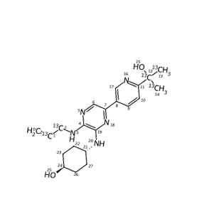 C=[13CH][13CH2]Nc1ncc(-c2ccc([13C]([13CH3])([13CH3])O)nc2)nc1N[C@H]1CC[C@H](O)CC1